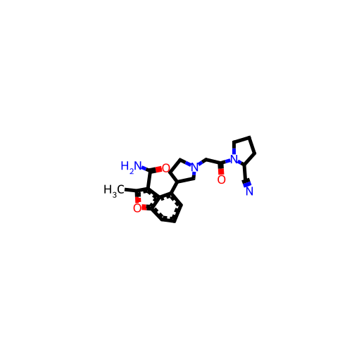 Cc1oc2cccc(C3CCN(CC(=O)N4CCCC4C#N)C3)c2c1C(N)=O